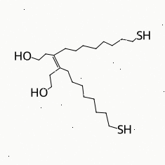 OCCC(CCCCCCCCS)=C(CCO)CCCCCCCCS